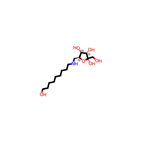 OCCCCCCCCCNC[C@@H]1O[C@](O)(CO)[C@@H](O)[C@@H]1O